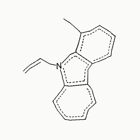 C=Cn1c2ccccc2c2cccc(C)c21